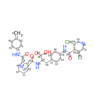 Cc1ccc(NC(=O)N2C3CCC(CC3)C2C(=O)NC(Cc2ccc(NC(=O)c3c(Cl)cncc3Cl)cc2)C(=O)O)cc1